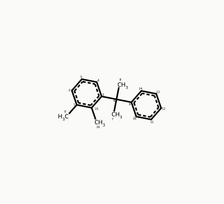 Cc1cccc(C(C)(C)c2[c]cccc2)c1C